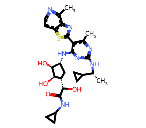 Cc1nc(N[C@H](C)C2CC2)nc(N[C@@H]2C[C@H](C(O)C(=O)NC3CC3)[C@@H](O)[C@H]2O)c1-c1nc2c(C)nccc2s1